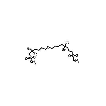 CCC(CC)(CCCCOCCCCC(CC)(CC)CS(C)(=O)=O)CCCS(N)(=O)=O